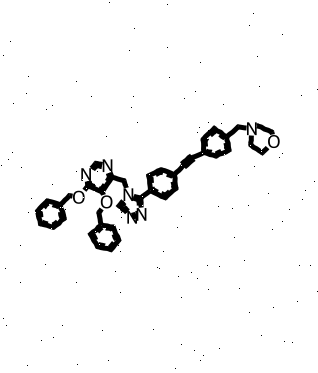 C(#Cc1ccc(-c2nncn2Cc2ncnc(OCc3ccccc3)c2OCc2ccccc2)cc1)c1ccc(CN2CCOCC2)cc1